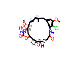 COc1cc2cc(c1Cl)N(C)C(=O)CC[C@@H]1O[C@H]1[C@H](C)C1C[C@@](O)(NC(=O)O1)[C@H](OC)/C=C/C=C(\C)C2